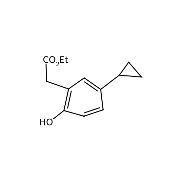 CCOC(=O)Cc1cc(C2CC2)ccc1O